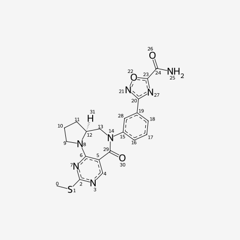 CSc1ncc2c(n1)N1CCC[C@H]1CN(c1cccc(-c3noc(C(N)=O)n3)c1)C2=O